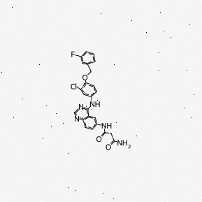 NC(=O)CC(=O)Nc1ccc2ncnc(Nc3ccc(OCc4cccc(F)c4)c(Cl)c3)c2c1